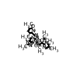 COc1cccc(-c2nnc(NS(=O)(=O)C(C)C(OC(C)C)c3ncc(C)cn3)n2C(C)c2nc(C)no2)n1